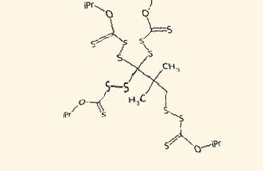 CC(C)OC(=S)SSCC(C)(C)C(SSC(=S)OC(C)C)(SSC(=S)OC(C)C)SSC(=S)OC(C)C